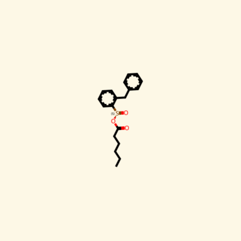 CCCCCC(=O)O[S@](=O)c1ccccc1Cc1ccccc1